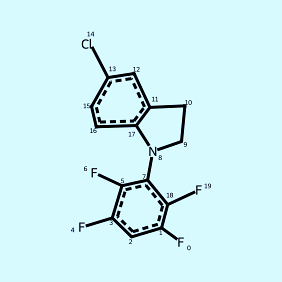 Fc1cc(F)c(F)c(N2CCc3cc(Cl)ccc32)c1F